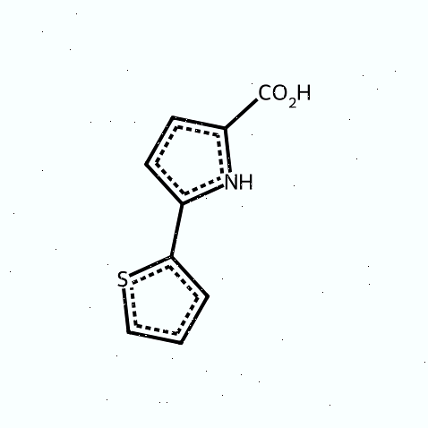 O=C(O)c1ccc(-c2cccs2)[nH]1